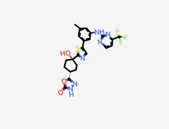 Cc1cc(Nc2nccc(C(F)(F)F)n2)cc(-c2cnc([C@]3(O)CC[C@H](c4n[nH]c(=O)o4)CC3)s2)c1